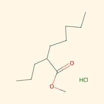 CCCCCC(CCC)C(=O)OC.Cl